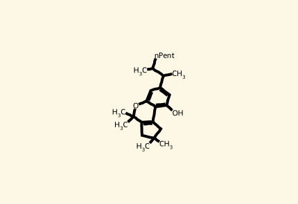 CCCCCC(C)C(C)c1cc(O)c2c(c1)OC(C)(C)C1=C2CC(C)(C)C1